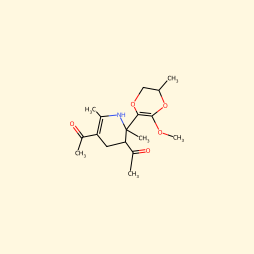 COC1=C(C2(C)NC(C)=C(C(C)=O)CC2C(C)=O)OCC(C)O1